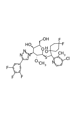 CO[C@@H]1[C@@H](n2cc(-c3cc(F)c(F)c(F)c3)nn2)[C@@H](O)[C@@H](CO)O[C@H]1SC(c1nccc(Cl)c1C)C1(O)CCC(F)(F)CC1